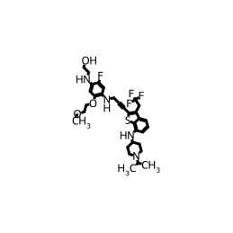 COCCOc1cc(NCCO)c(F)cc1NCC#Cc1sc2c(NC3CCN(C(C)C)CC3)cccc2c1CC(F)(F)F